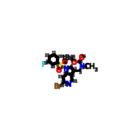 CN(Cc1cn(S(=O)(=O)c2cccc(F)c2)c2cc(Br)ncc12)C(=O)OC(C)(C)C